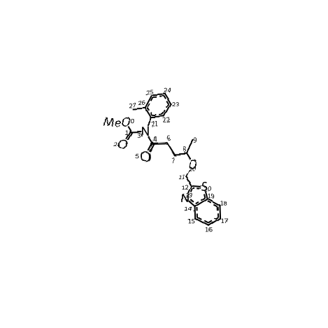 COC(=O)N(C(=O)CCC(C)OCc1nc2ccccc2s1)c1ccccc1C